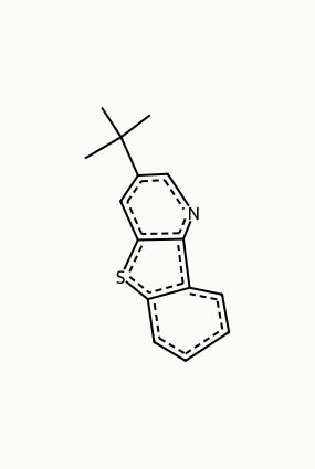 CC(C)(C)c1cnc2c(c1)sc1ccccc12